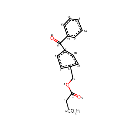 O=C(O)CC(=O)OCc1ccc(C(=O)c2ccccc2)cc1